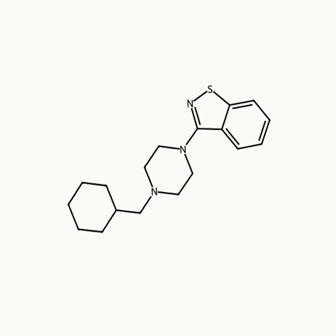 c1ccc2c(N3CCN(CC4CCCCC4)CC3)nsc2c1